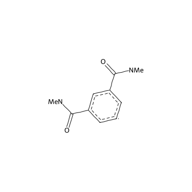 CNC(=O)c1c[c]cc(C(=O)NC)c1